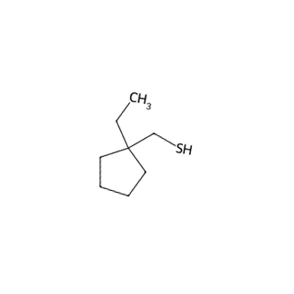 CCC1(CS)CCCC1